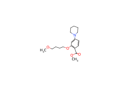 COCCCCOc1cc(N2CCCCC2)ccc1C(=O)OC